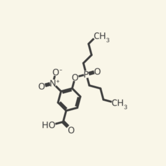 CCCCP(=O)(CCCC)Oc1ccc(C(=O)O)cc1[N+](=O)[O-]